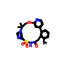 CC(C)c1cccc2c1CC(=O)NS(=O)(=O)c1cn(cn1)C(C)(C)COc1cc-2ccn1